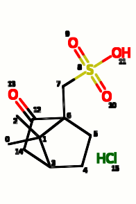 CC1(C)C2CCC1(CS(=O)(=O)O)C(=O)C2.Cl